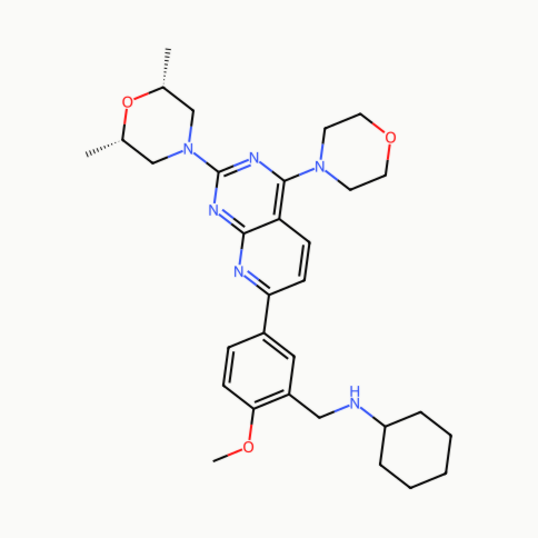 COc1ccc(-c2ccc3c(N4CCOCC4)nc(N4C[C@@H](C)O[C@@H](C)C4)nc3n2)cc1CNC1CCCCC1